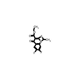 CCOC(=O)c1c2n(c3cc(F)c(F)cc3c1=O)C(C)S2